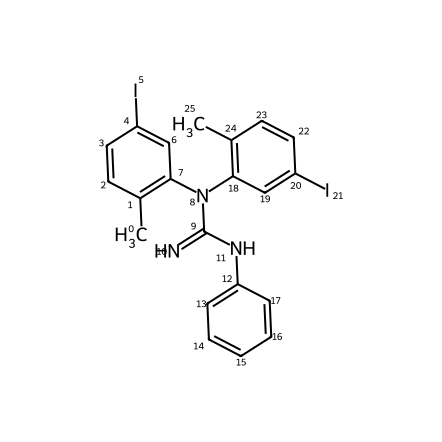 Cc1ccc(I)cc1N(C(=N)Nc1ccccc1)c1cc(I)ccc1C